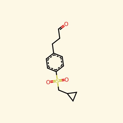 O=CCCc1ccc(S(=O)(=O)CC2CC2)cc1